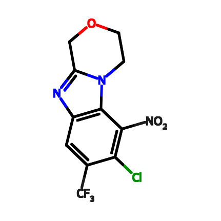 O=[N+]([O-])c1c(Cl)c(C(F)(F)F)cc2nc3n(c12)CCOC3